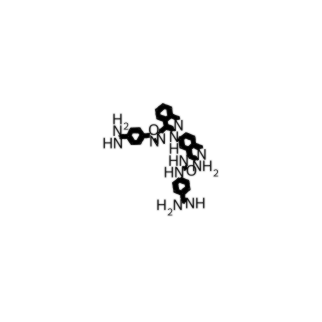 N=C(N)c1ccc(NC(=O)Nc2c(N)ncc3ccc(Nc4ncc5ccccc5c4-c4nnc(-c5ccc(C(=N)N)cc5)o4)cc23)cc1